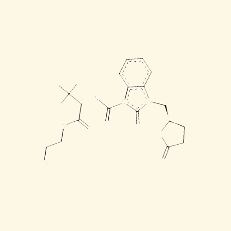 CC(C)(C)[C@H](NC(=O)n1c(=O)n(C[C@H]2CCC(=O)O2)c2ccccc21)C(=O)NCCO